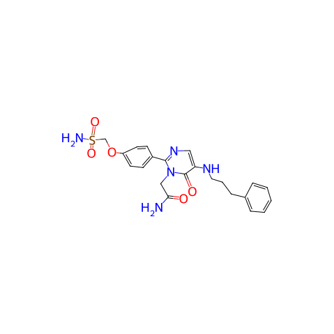 NC(=O)Cn1c(-c2ccc(OCS(N)(=O)=O)cc2)ncc(NCCCc2ccccc2)c1=O